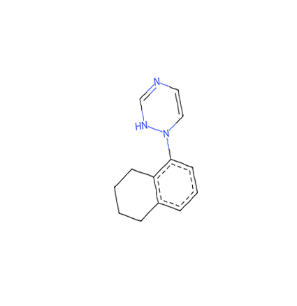 C1=CN(c2cccc3c2CCCC3)NC=N1